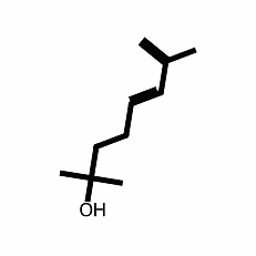 C=C(C)/C=C/CCC(C)(C)O